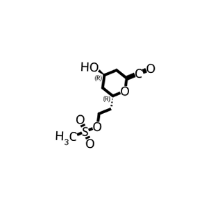 CS(=O)(=O)OCC[C@@H]1C[C@@H](O)CC(=C=O)O1